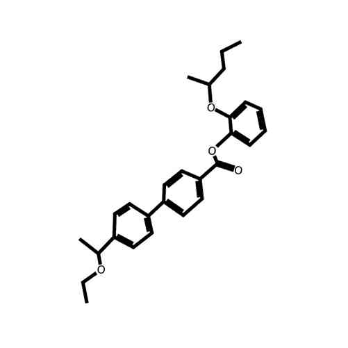 CCCC(C)Oc1ccccc1OC(=O)c1ccc(-c2ccc(C(C)OCC)cc2)cc1